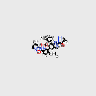 Cc1ccc(C(=O)Nc2cc(C(F)(F)F)ccn2)cc1-c1cc2cnc(NC(=O)C3CC3)nc2c(-c2cccc(C#N)c2)c1O